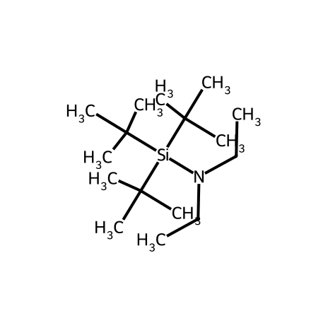 CCN(CC)[Si](C(C)(C)C)(C(C)(C)C)C(C)(C)C